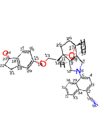 N#Cc1ccc(N2C[C@H]3[C@@H](C2)[C@]2(CCOc4ccc5c(c4)CCC5=O)CC[C@H]3O2)c2ccccc12